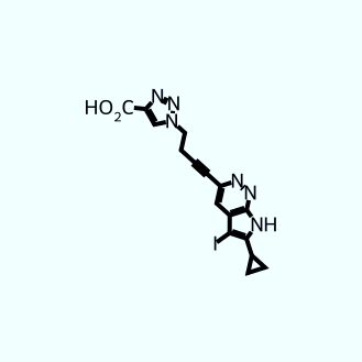 O=C(O)c1cn(CCC#Cc2cc3c(I)c(C4CC4)[nH]c3nn2)nn1